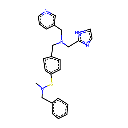 CN(Cc1ccccc1)Sc1ccc(CN(Cc2cccnc2)Cc2ncc[nH]2)cc1